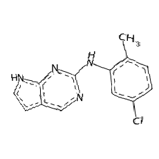 Cc1ccc(Cl)cc1Nc1ncc2cc[nH]c2n1